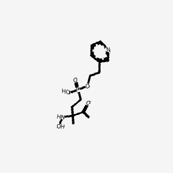 CC(=O)C(C)(CCP(=O)(O)OCCc1cccnc1)NO